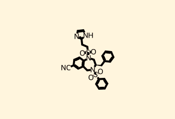 N#Cc1ccc2c(c1)CN(S(=O)(=O)c1ccccc1)[C@H](Cc1ccccc1)CN2S(=O)(=O)CCc1ncc[nH]1